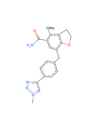 COc1c(C(N)=O)cc(Cc2ccc(-c3cn(C)nn3)cc2)c2c1CCO2